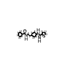 N=C(Nc1ccc(CCNC(=O)c2ccccc2)cc1)c1cccs1